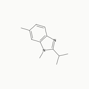 Cc1ccc2nc(C(C)C)n(C)c2c1